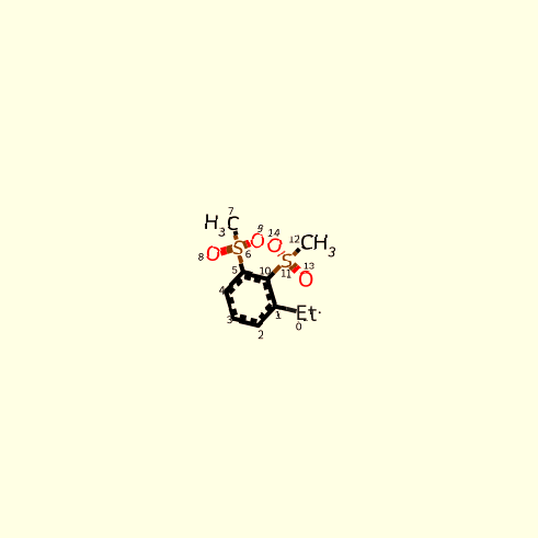 C[CH]c1cccc(S(C)(=O)=O)c1S(C)(=O)=O